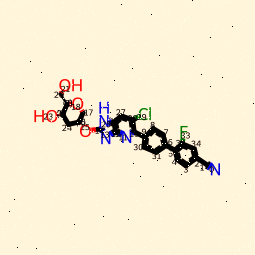 N#Cc1ccc(-c2ccc(-c3nc4nc(O[C@H]5CO[C@H](CO)[C@@H](O)C5)[nH]c4cc3Cl)cc2)c(F)c1